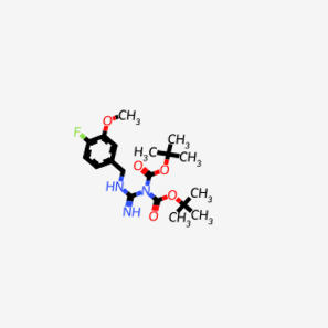 COc1cc(CNC(=N)N(C(=O)OC(C)(C)C)C(=O)OC(C)(C)C)ccc1F